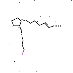 CCOC(=O)C=CCCCC[C@H]1CCC[C@@H]1CCCCCI